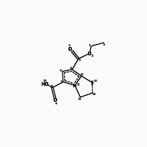 CCOC(=O)c1cc(C(=O)O)n2c1SCC2